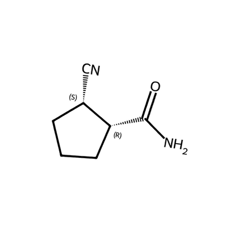 N#C[C@H]1CCC[C@H]1C(N)=O